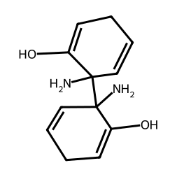 NC1(C2(N)C=CCC=C2O)C=CCC=C1O